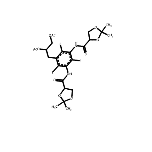 CC(=O)OCC(Cc1c(I)c(NC(=O)C2COC(C)(C)O2)c(I)c(NC(=O)C2COC(C)(C)O2)c1I)OC(C)=O